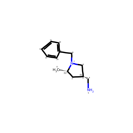 C[C@H]1C[C@@H](CN)CN1Cc1ccccc1